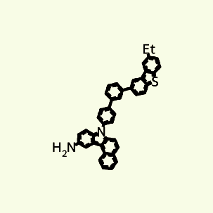 CCc1ccc2sc3ccc(-c4cccc(-c5ccc(-n6c7ccc(N)cc7c7c8ccccc8ccc76)cc5)c4)cc3c2c1